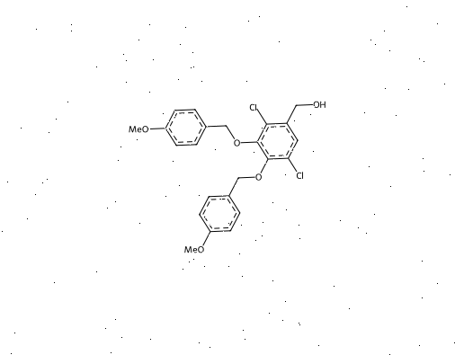 COc1ccc(COc2c(Cl)cc(CO)c(Cl)c2OCc2ccc(OC)cc2)cc1